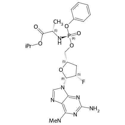 CNc1nc(N)nc2c1ncn2[C@@H]1O[C@H](CO[P@](=O)(N[C@@H](C)C(=O)OC(C)C)Oc2ccccc2)C[C@@H]1F